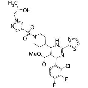 COC(=O)C1=C(C2CCN(S(=O)(=O)c3cnn(CC(C)O)c3)CC2)NC(c2nccs2)=NC1c1ccc(F)c(F)c1Cl